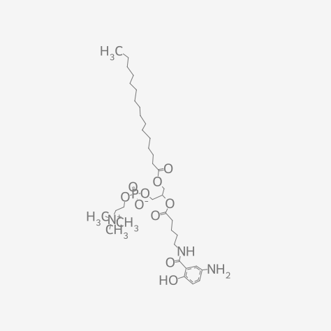 CCCCCCCCCCCCCCCC(=O)OCC(COP(=O)([O-])OCC[N+](C)(C)C)OC(=O)CCCCNC(=O)c1cc(N)ccc1O